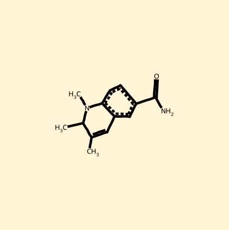 CC1=Cc2cc(C(N)=O)ccc2N(C)C1C